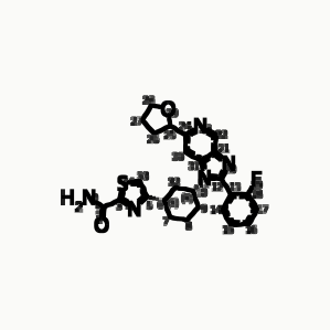 NC(=O)c1nc([C@H]2CCC[C@@H](n3c(-c4ccccc4F)nc4cnc(C5CCCO5)cc43)C2)cs1